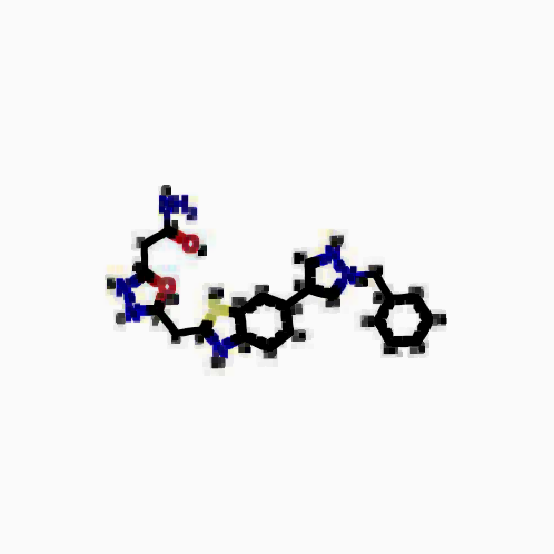 NC(=O)Cc1nnc(Cc2nc3ccc(-c4cnn(Cc5ccccc5)c4)cc3s2)o1